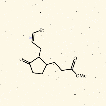 CC/C=C\CC1C(=O)CCC1CCC(=O)OC